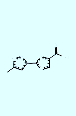 Cc1cc(-c2nc(C(=O)O)cs2)no1